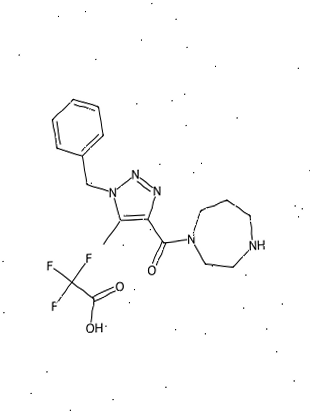 Cc1c(C(=O)N2CCCNCC2)nnn1Cc1ccccc1.O=C(O)C(F)(F)F